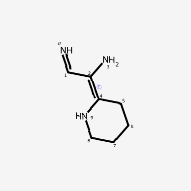 N=C/C(N)=C1/CCCCN1